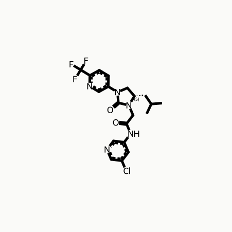 CC(C)C[C@H]1CN(c2ccc(C(F)(F)F)nc2)C(=O)N1CC(=O)Nc1cncc(Cl)c1